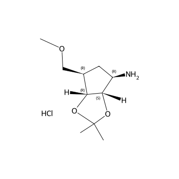 COC[C@H]1C[C@@H](N)[C@@H]2OC(C)(C)O[C@H]12.Cl